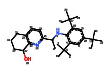 CC(Nc1c(C(C)(C)C)cc(C(C)(C)C)cc1C(C)(C)C)c1ccc2c(n1)C(O)CCC2